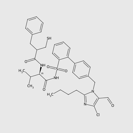 CCCCc1nc(Cl)c(C=O)n1Cc1ccc(-c2ccccc2S(=O)(=O)NC(=O)[C@H](NC(=O)C(CS)Cc2ccccc2)C(C)C)cc1